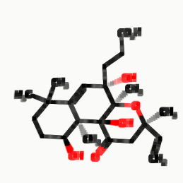 C=C[C@@]1(C)CC(=O)[C@@]2(O)[C@](C)(O1)[C@](O)(CCC(=O)O)C=C1C(C)(C)CC[C@H](O)[C@@]12C